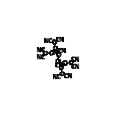 N#Cc1cc(C#N)cc(-c2ccc3c(c2)c2cc(-c4cc(C#N)cc(C#N)c4)ccc2n3-c2cc(-c3ccc(C#N)c(-n4c5ccc(-c6cc(C#N)cc(C#N)c6)cc5c5cc(-c6cc(C#N)cc(C#N)c6)ccc54)c3)ccc2C#N)c1